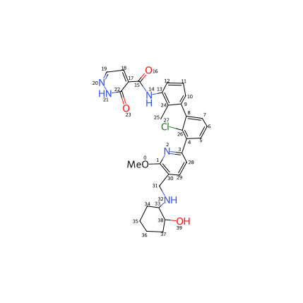 COc1nc(-c2cccc(-c3cccc(NC(=O)c4ccn[nH]c4=O)c3C)c2Cl)ccc1CNC1CCCCC1O